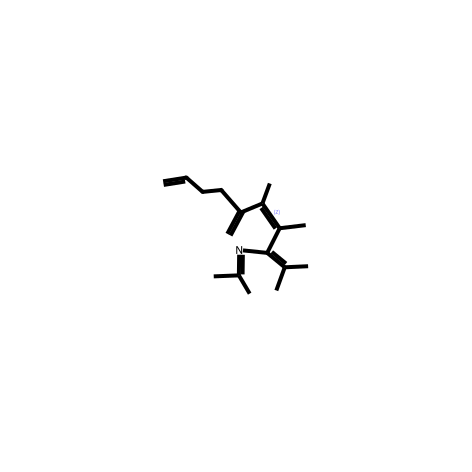 C=CCCC(=C)/C(C)=C(/C)C(N=C(C)C)=C(C)C